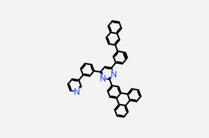 c1cc(-c2cc(-c3cccc(-c4cccnc4)c3)nc(-c3ccc4c5ccccc5c5ccccc5c4c3)n2)cc(-c2ccc3ccccc3c2)c#1